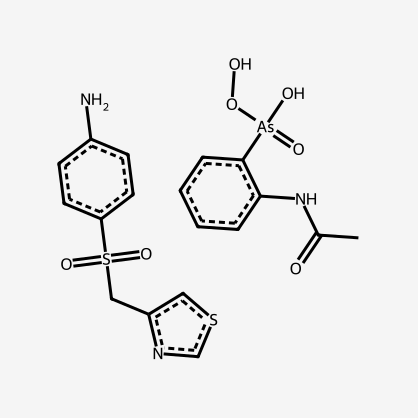 CC(=O)Nc1ccccc1[As](=O)(O)OO.Nc1ccc(S(=O)(=O)Cc2cscn2)cc1